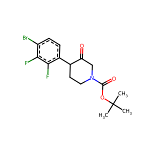 CC(C)(C)OC(=O)N1CCC(c2ccc(Br)c(F)c2F)C(=O)C1